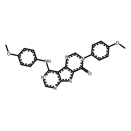 COc1ccc(Nc2ncnc3sc4c(=O)n(-c5ccc(OC)cc5)cnc4c23)cc1